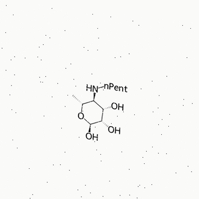 CCCCCN[C@H]1[C@H](O)[C@H](O)[C@@H](O)O[C@@H]1C